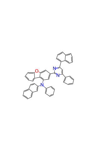 c1ccc(-c2cc(-c3cccc4ccccc34)nc(-c3cc(N(c4ccccc4)c4ccc5ccccc5c4)c4c(c3)oc3ccccc34)n2)cc1